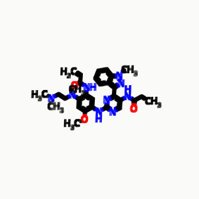 C=CC(=O)Nc1cc(Nc2ncc(NC(=O)CC)c(-c3nn(C)c4ccccc34)n2)c(OC)cc1N(C)CCN(C)C